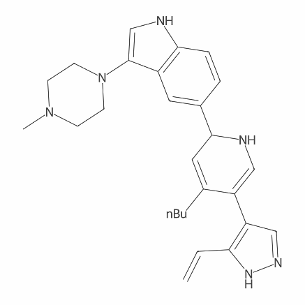 C=Cc1[nH]ncc1C1=CNC(c2ccc3[nH]cc(N4CCN(C)CC4)c3c2)C=C1CCCC